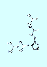 CCn1ccnc1.OB(O)F.OB(O)F.OB(O)F.OB(O)F